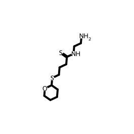 NCCNC(=S)CCCSC1CCCCO1